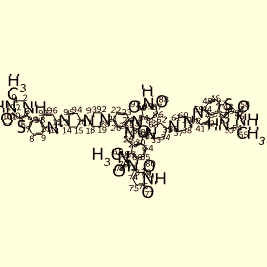 C[C@@H]1CNc2c(sc3ccc4nc(N5CCC(N6CCN(c7ccc8c(c7)n(Cc7c(CN9CCC(N%10CCN(c%11ccc%12c(ccc%13sc%14c(c%13%12)NC[C@@H](C)NC%14=O)n%11)CC%10)CC9)ccc9c7n(C)c(=O)n9C7CCC(=O)NC7=O)c(=O)n8C7CCC(=O)NC7=O)CC6)CC5)ccc4c23)C(=O)N1